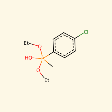 CCOP(C)(O)(OCC)c1ccc(Cl)cc1